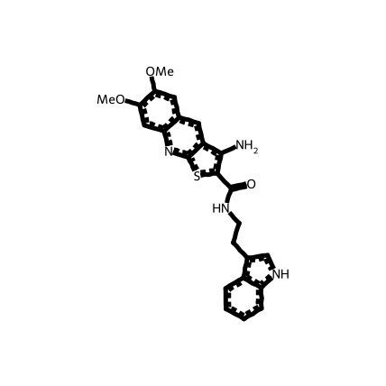 COc1cc2cc3c(N)c(C(=O)NCCc4c[nH]c5ccccc45)sc3nc2cc1OC